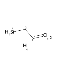 C=CC[SiH3].I